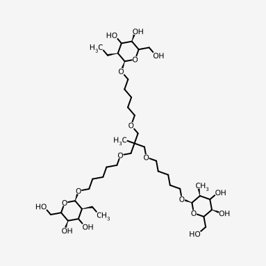 CC[C@H]1C(O)[C@@H](O)C(CO)O[C@H]1OCCCCCOCC(C)(COCCCCCO[C@@H]1OC(CO)[C@H](O)C(O)[C@@H]1C)COCCCCCO[C@@H]1OC(CO)[C@H](O)C(O)[C@@H]1CC